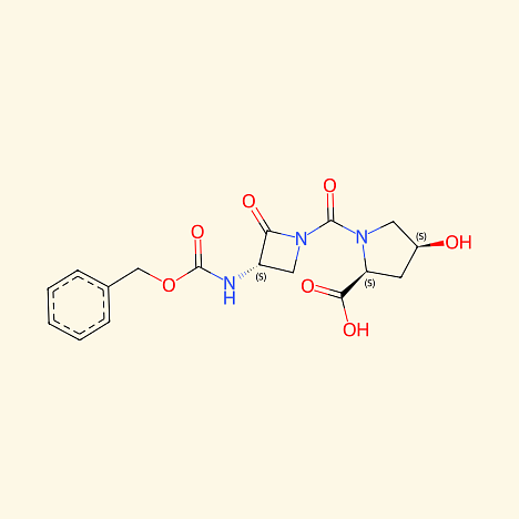 O=C(N[C@H]1CN(C(=O)N2C[C@@H](O)C[C@H]2C(=O)O)C1=O)OCc1ccccc1